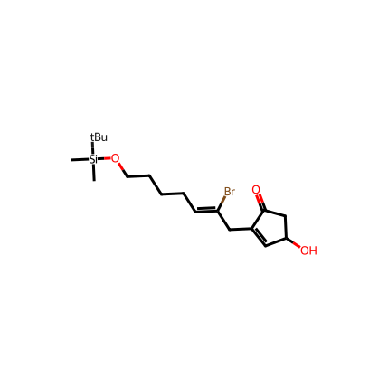 CC(C)(C)[Si](C)(C)OCCCC/C=C(\Br)CC1=CC(O)CC1=O